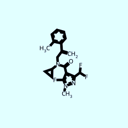 C=C(CN(C(=O)c1c(C(F)F)nn(C)c1F)C1CC1)c1ccccc1C